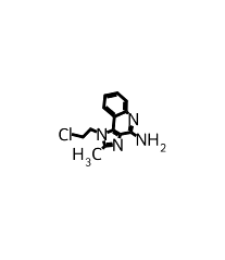 Cc1nc2c(N)nc3ccccc3c2n1CCCl